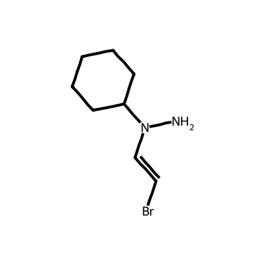 NN(/C=C/Br)C1CCCCC1